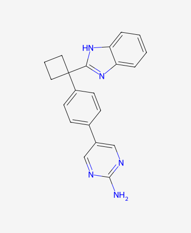 Nc1ncc(-c2ccc(C3(c4nc5ccccc5[nH]4)CCC3)cc2)cn1